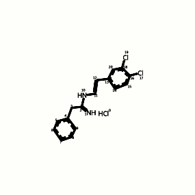 Cl.N=C(Cc1ccccc1)NC=Cc1ccc(Cl)c(Cl)c1